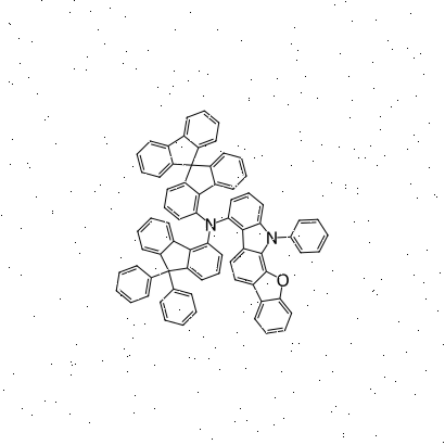 c1ccc(-n2c3cccc(N(c4cccc5c4-c4ccccc4C5(c4ccccc4)c4ccccc4)c4cccc5c4-c4ccccc4C54c5ccccc5-c5ccccc54)c3c3ccc4c5ccccc5oc4c32)cc1